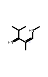 CN/C=C(/C)C(=N)C(C)C